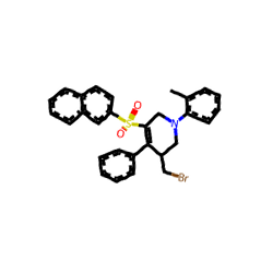 Cc1ccccc1N1CC(S(=O)(=O)c2ccc3ccccc3c2)=C(c2ccccc2)C(CBr)C1